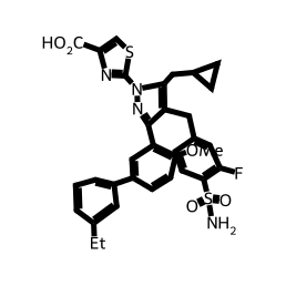 CCc1cccc(-c2ccc(OC)c(-c3nn(-c4nc(C(=O)O)cs4)c(CC4CC4)c3Cc3ccc(S(N)(=O)=O)c(F)c3)c2)c1